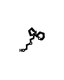 OCCOCC[N+]1(c2ccccc2)C=CC=N1